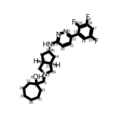 OC1(CN2C[C@H]3C[C@@H](Nc4ccc(-c5cc(F)cc(F)c5F)nn4)C[C@H]3C2)CCCCCC1